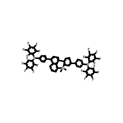 C[Si]1(C)c2cc(-c3ccc(B(c4c(F)c(F)c(F)c(F)c4F)c4c(F)c(F)c(F)c(F)c4F)cc3)ccc2-c2ccc(-c3ccc(B(c4c(F)c(F)c(F)c(F)c4F)c4c(F)c(F)c(F)c(F)c4F)cc3)c3cccc1c23